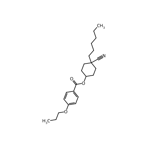 CCCCCCC1(C#N)CCC(OC(=O)c2ccc(OCCC)cc2)CC1